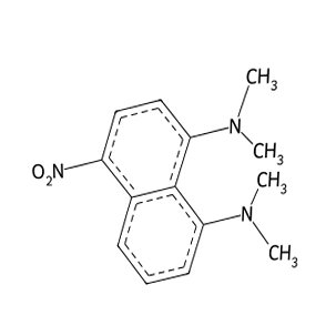 CN(C)c1cccc2c([N+](=O)[O-])ccc(N(C)C)c12